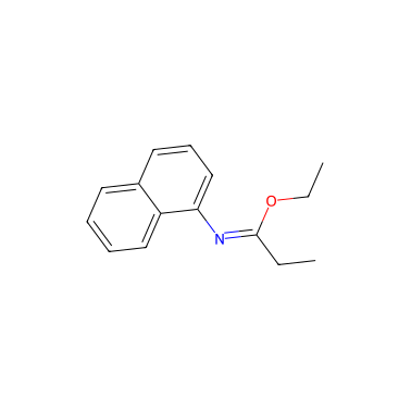 CCOC(CC)=Nc1cccc2ccccc12